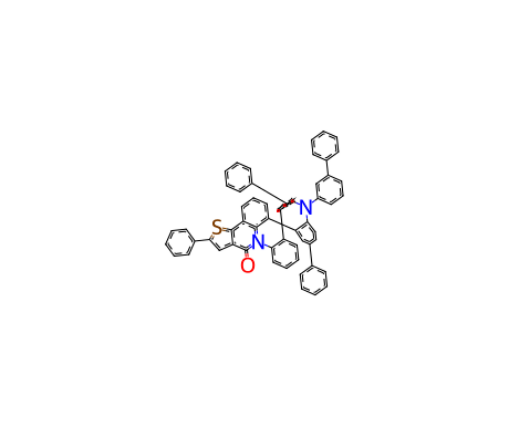 O=c1c2cc(-c3ccccc3)sc2c2cccc3c2n1-c1ccccc1C31c2cc(-c3ccccc3)ccc2N(c2cccc(-c3ccccc3)c2)c2ccc(-c3ccccc3)cc21